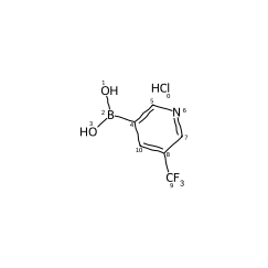 Cl.OB(O)c1cncc(C(F)(F)F)c1